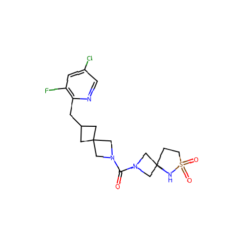 O=C(N1CC2(CC(Cc3ncc(Cl)cc3F)C2)C1)N1CC2(CCS(=O)(=O)N2)C1